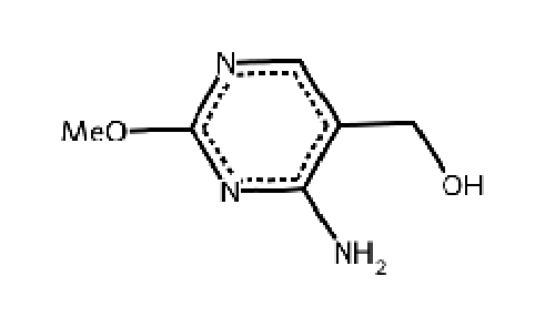 COc1ncc(CO)c(N)n1